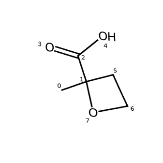 CC1(C(=O)O)CCO1